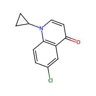 O=c1ccn(C2CC2)c2ccc(Cl)cc12